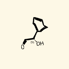 O=C[C@@H](O)c1ccccc1